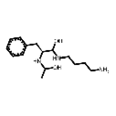 CC(O)N[C@@H](Cc1ccccc1)C(O)NCCCCN